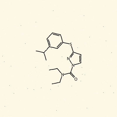 CCN(CC)C(=O)n1ccc(Sc2cccc(C(C)C)c2)n1